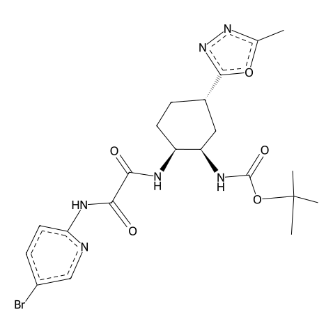 Cc1nnc([C@H]2CC[C@H](NC(=O)C(=O)Nc3ccc(Br)cn3)[C@H](NC(=O)OC(C)(C)C)C2)o1